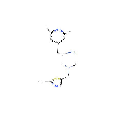 CC(=O)Nc1ncc(CN2CCN[C@H](Cc3cc(C)nc(C)c3)C2)s1